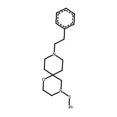 CC(C)SN1CCOC2(CCN(CCc3ccccc3)CC2)C1